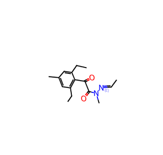 C/C=N/N(C)C(=O)C(=O)c1c(CC)cc(C)cc1CC